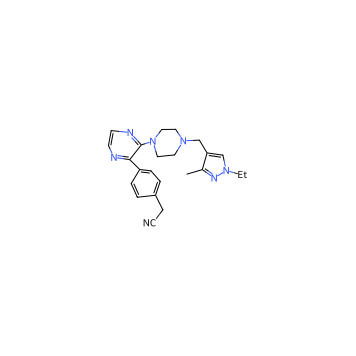 CCn1cc(CN2CCN(c3nccnc3-c3ccc(CC#N)cc3)CC2)c(C)n1